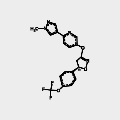 Cn1cc(-c2ccc(OC3=NO[C@@H](c4ccc(OC(F)(F)F)cc4)C3)cn2)cn1